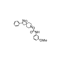 COc1cccc(NC(=O)ON2CCC3(CC2)CC(c2ccccc2)=NO3)c1